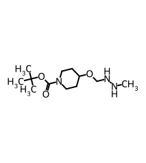 CNNCOC1CCN(C(=O)OC(C)(C)C)CC1